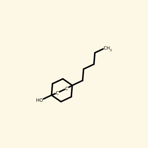 CCCCCC12CCC(O)(CC1)CC2